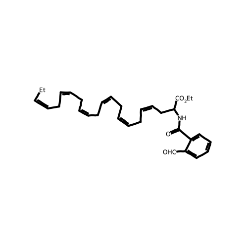 CC/C=C\C/C=C\C/C=C\C/C=C\C/C=C\C/C=C\CC(NC(=O)c1ccccc1C=O)C(=O)OCC